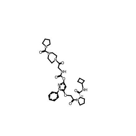 O=C(NCC(=O)N1CCN(C(=O)N2CCCC2)CC1)Oc1cc(OCC(=O)N2CCC[C@H]2C(=O)NC2CCC2)n(-c2ccccc2)n1